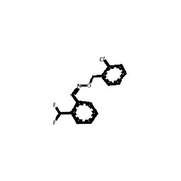 FC(F)c1ccccc1/[C]=N\OCc1ccccc1Cl